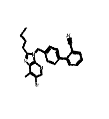 CCCCc1nc2c(C)c(Br)cnc2n1Cc1ccc(-c2ccccc2C#N)cc1